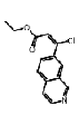 CCOC(=O)/C=C(/Cl)c1ccc2ccncc2c1